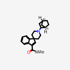 CNC(=O)C1=CC2(CCN(C3C[C@@H]4CC[C@@H]3C4)CC2)c2ccccc21